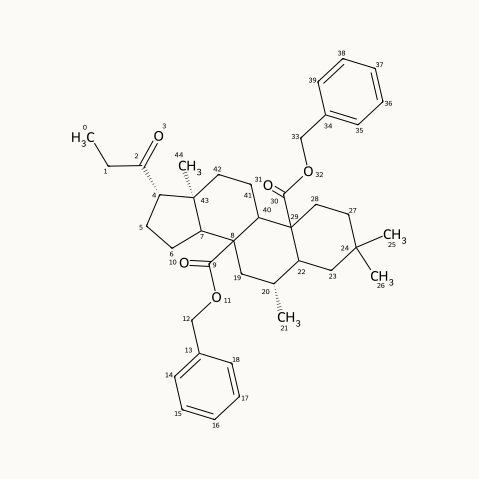 CCC(=O)[C@H]1CCC2C3(C(=O)OCc4ccccc4)C[C@@H](C)C4CC(C)(C)CCC4(C(=O)OCc4ccccc4)C3CC[C@@]21C